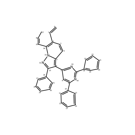 C=Cc1ccc2c(-c3cc(-c4ccccc4)nc(-c4ccccc4)n3)c(-c3ccccc3)nn2c1/C=C\C